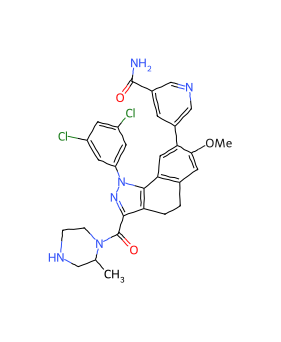 COc1cc2c(cc1-c1cncc(C(N)=O)c1)-c1c(c(C(=O)N3CCNCC3C)nn1-c1cc(Cl)cc(Cl)c1)CC2